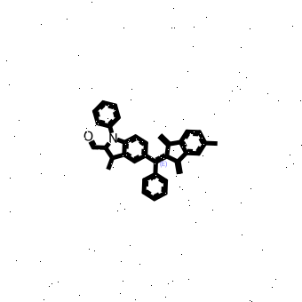 C=C1/C(=C(/c2ccccc2)c2ccc3c(c2)C(C)C(C=O)N3c2ccccc2)C(=C)c2cc(C)ccc21